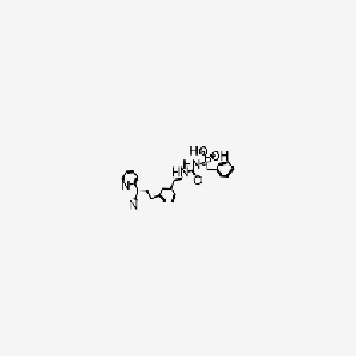 N#CC(CCc1cccc(CCNC(=O)N[C@@H](Cc2ccccc2)B(O)O)c1)c1ccccn1